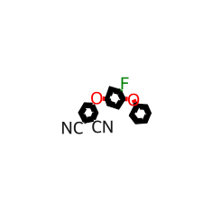 N#Cc1ccc(Oc2ccc(Oc3ccccc3)c(F)c2)cc1C#N